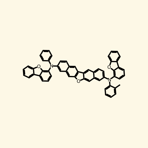 Cc1ccccc1N(c1ccc2cc3c(cc2c1)oc1cc2cc(N(c4ccccc4)c4cccc5c4oc4ccccc45)ccc2cc13)c1cccc2c1oc1ccccc12